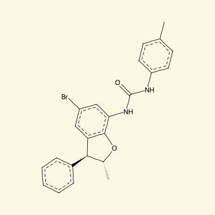 Cc1ccc(NC(=O)Nc2cc(Br)cc3c2O[C@H](C)[C@H]3c2ccccc2)cc1